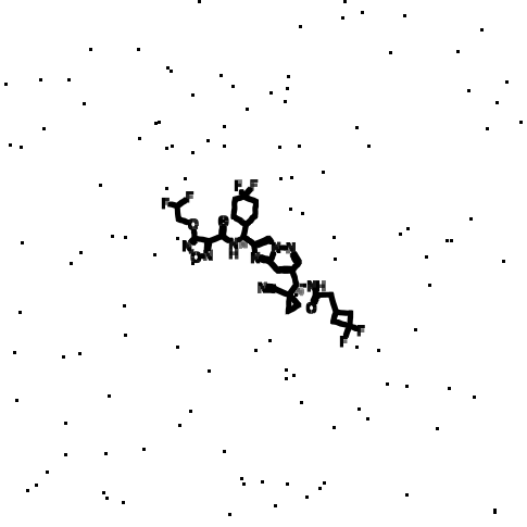 N#CC1([C@@H](NC(=O)CC2CC(F)(F)C2)c2cnn3cc([C@@H](NC(=O)c4nonc4OCC(F)F)C4CCC(F)(F)CC4)nc3c2)CC1